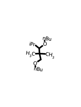 CCCCOCC(C)(C)C(OCCCC)C(C)C